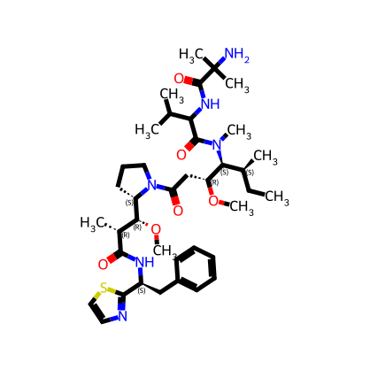 CC[C@H](C)[C@@H]([C@@H](CC(=O)N1CCC[C@H]1[C@H](OC)[C@@H](C)C(=O)N[C@@H](Cc1ccccc1)c1nccs1)OC)N(C)C(=O)C(NC(=O)C(C)(C)N)C(C)C